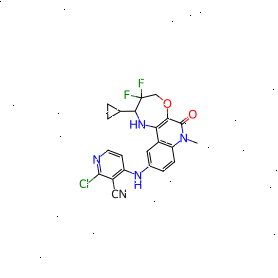 Cn1c(=O)c2c(c3cc(Nc4ccnc(Cl)c4C#N)ccc31)NC(C1CC1)C(F)(F)CO2